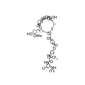 C=CC(=O)Nc1cc(Cl)cc(NC(=O)c2cnn(-c3ccc(OCC(=O)N4CCN(C(=O)CCC[C@@H]5/C=C(\C)C[C@H](C)C[C@H](C)[C@H]6O[C@@](O)(C(=O)C(=O)N7CCCC[C@H]7C(=O)O[C@H](/C(C)=C/[C@@H]7CC[C@@H](O)[C@H](OC)C7)[C@H](C)CCC5=O)[C@H](C)C[C@@H]6O)CC4)cc3)c2C(F)(F)F)c1